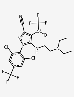 CCN(CC)CCNc1c([S+]([O-])C(F)(F)F)c(C#N)nn1-c1c(Cl)cc(C(F)(F)F)cc1Cl